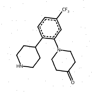 O=C1CCN(c2cc(C(F)(F)F)ccc2C2CCNCC2)CC1